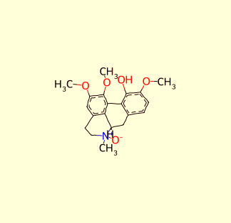 COc1ccc2c(c1O)-c1c(OC)c(OC)cc3c1[C@H](C2)[N+](C)([O-])CC3